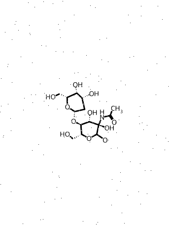 CC(=O)N[C@]1(O)C([O])O[C@H](CO)[C@@H](O[C@H]2C[C@@H](O)[C@@H](O)[C@@H](CO)O2)[C@@H]1O